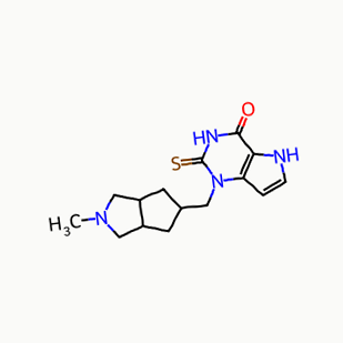 CN1CC2CC(Cn3c(=S)[nH]c(=O)c4[nH]ccc43)CC2C1